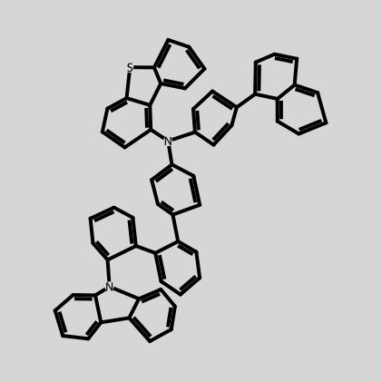 c1ccc(-c2ccccc2-n2c3ccccc3c3ccccc32)c(-c2ccc(N(c3ccc(-c4cccc5ccccc45)cc3)c3cccc4sc5ccccc5c34)cc2)c1